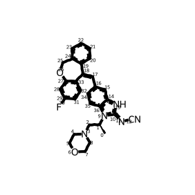 C[C@@H](CN1CCOCC1)n1c(=NC#N)[nH]c2cc(C=C3c4ccccc4COc4cc(F)ccc43)ccc21